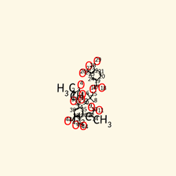 C=C(C)C(=O)OCC(COC(=O)C(=C)C)(COC(=O)c1ccc2c(c1)C(=O)OC2=O)COC(=O)c1ccc2c(c1)C(=O)OC2=O